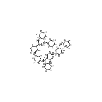 c1ccc(-c2nc(-c3cccc(-c4cccc(-n5c6ccccc6c6cc(-c7ccc8c(c7)sc7ccccc78)ccc65)c4)c3)nc3ccccc23)cc1